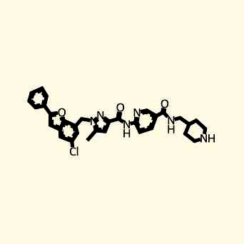 Cc1cc(C(=O)Nc2ccc(C(=O)NCC3CCNCC3)cn2)nn1Cc1cc(Cl)cc2cc(-c3ccccc3)oc12